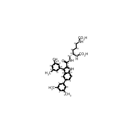 Cc1cc(C)cc(-c2ccc3[nH]c(C(=O)NC[C@H](CCCNC(=O)O)NC(=O)O)c(-c4cc(C)cc(C)c4)c3c2)c1